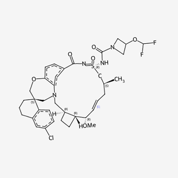 CO[C@H]1/C=C/C[C@H](C)C[S@@](=O)(NC(=O)N2CC(OC(F)F)C2)=NC(=O)c2ccc3c(c2)N(C[C@@H]2CC[C@H]21)C[C@@]1(CCCc2cc(Cl)ccc21)CO3